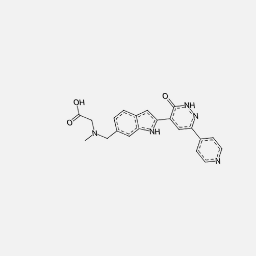 CN(CC(=O)O)Cc1ccc2cc(-c3cc(-c4ccncc4)n[nH]c3=O)[nH]c2c1